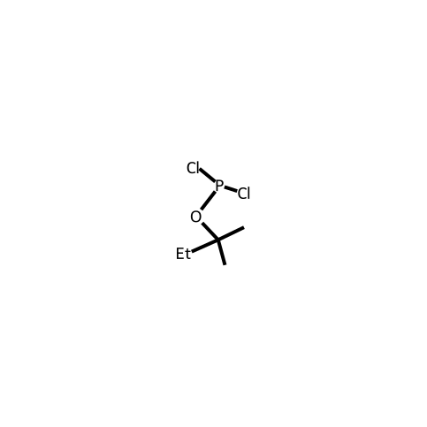 CCC(C)(C)OP(Cl)Cl